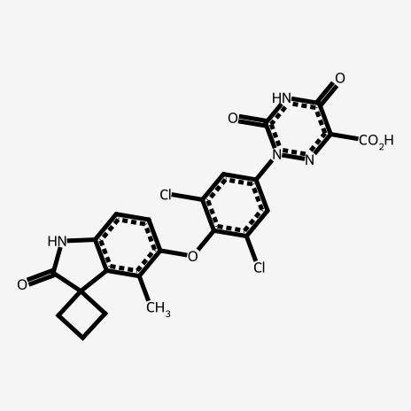 Cc1c(Oc2c(Cl)cc(-n3nc(C(=O)O)c(=O)[nH]c3=O)cc2Cl)ccc2c1C1(CCC1)C(=O)N2